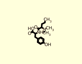 CCCC(C(=O)NC(Cc1ccc(O)cc1)C(=O)O)N(C)C